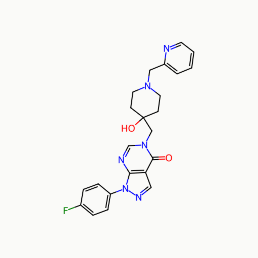 O=c1c2cnn(-c3ccc(F)cc3)c2ncn1CC1(O)CCN(Cc2ccccn2)CC1